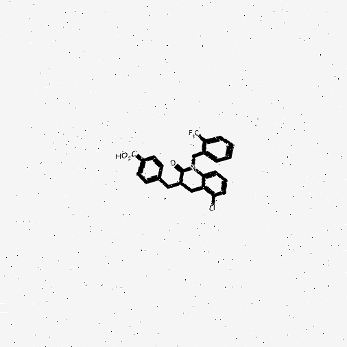 O=C(O)c1ccc(CC2Cc3c(Cl)cccc3N(Cc3ccccc3C(F)(F)F)C2=O)cc1